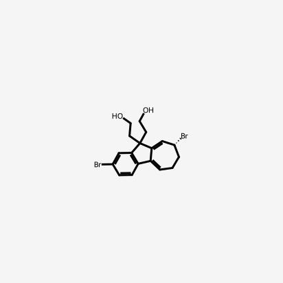 OCCC1(CCO)C2=C[C@H](Br)CCC=C2c2ccc(Br)cc21